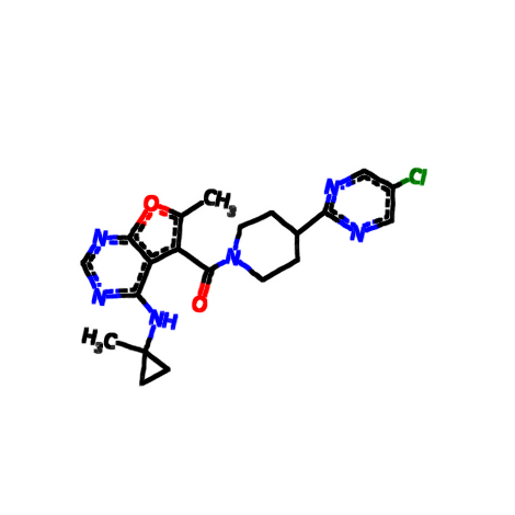 Cc1oc2ncnc(NC3(C)CC3)c2c1C(=O)N1CCC(c2ncc(Cl)cn2)CC1